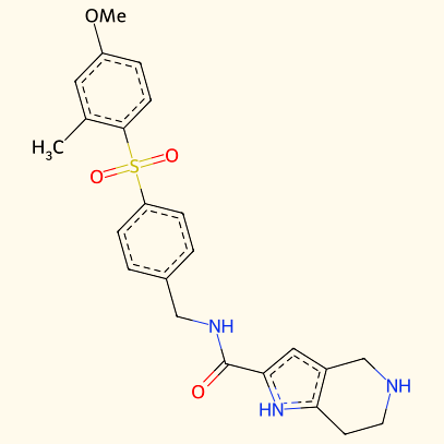 COc1ccc(S(=O)(=O)c2ccc(CNC(=O)c3cc4c([nH]3)CCNC4)cc2)c(C)c1